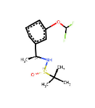 C[C@H](N[S@@+]([O-])C(C)(C)C)c1cccc(OC(F)F)c1